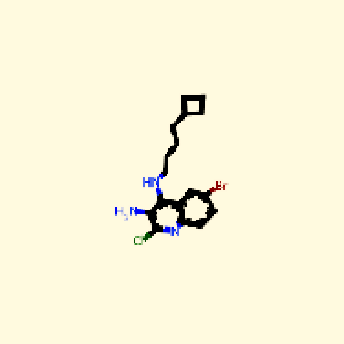 Nc1c(Cl)nc2ccc(Br)cc2c1NCCCCC1CCC1